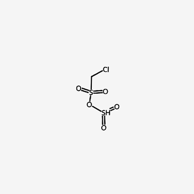 O=[SH](=O)OS(=O)(=O)CCl